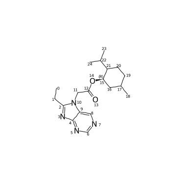 CCc1nc2ncncc2n1CC(=O)O[C@@H]1CC(C)CCC1C(C)C